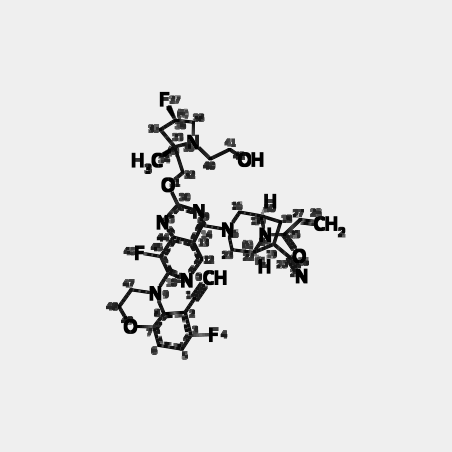 C#Cc1c(F)ccc2c1N(c1ncc3c(N4C[C@H]5CC(C#N)[C@@H](C4)N5C(=O)C=C)nc(OC[C@]4(C)C[C@@H](F)CN4CCO)nc3c1F)CCO2